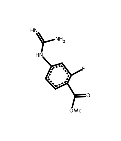 COC(=O)c1ccc(NC(=N)N)cc1F